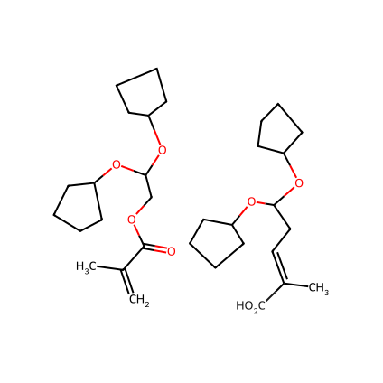 C=C(C)C(=O)OCC(OC1CCCC1)OC1CCCC1.CC(=CCC(OC1CCCC1)OC1CCCC1)C(=O)O